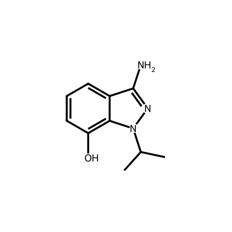 CC(C)n1nc(N)c2cccc(O)c21